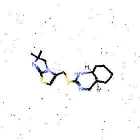 CC1(C)CN2C(CSC3=NC[C@@H]4CCCC[C@@H]4N3)=CSC2=N1